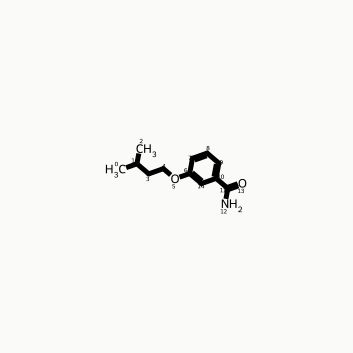 CC(C)CCOc1cccc(C(N)=O)c1